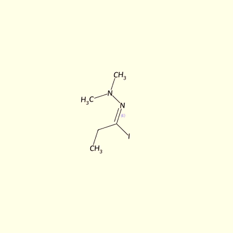 CC/C(I)=N\N(C)C